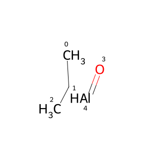 CCC.[O]=[AlH]